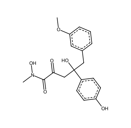 COc1cccc(CC(O)(CC(=O)C(=O)N(C)O)c2ccc(O)cc2)c1